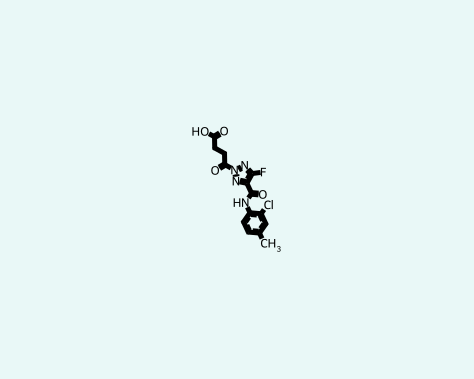 Cc1ccc(NC(=O)c2nn(C(=O)CCC(=O)O)nc2F)c(Cl)c1